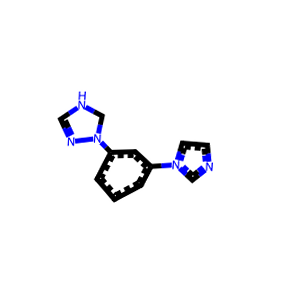 C1=NN(c2cccc(-n3ccnc3)c2)CN1